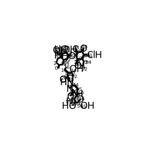 C=C1CC[C@@H]2C(C)(CO)[C@H](O)CC[C@@]2(C)[C@@H]1C/C=C1/C(=O)OCC1O.CC1=C2C(=CO[C@H](C)[C@H]2C)C(O)=C(C(=O)O)C1=O.Cl.N=c1ccn2c(n1)O[C@H]1[C@H](O)[C@@H](CO)O[C@H]12